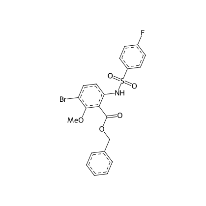 COc1c(Br)ccc(NS(=O)(=O)c2ccc(F)cc2)c1C(=O)OCc1ccccc1